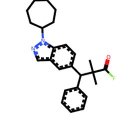 CC(C)(C(=O)F)C(c1ccccc1)c1ccc2c(cnn2C2CCCCCC2)c1